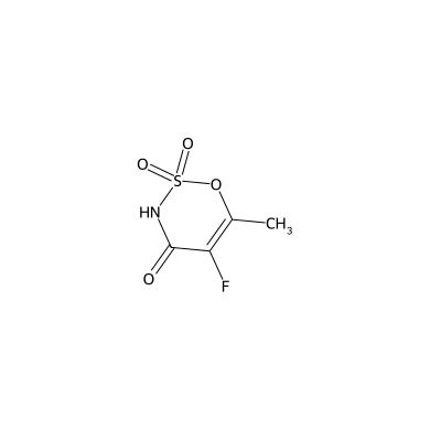 CC1=C(F)C(=O)NS(=O)(=O)O1